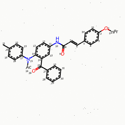 CCCOc1ccc(C=CC(=O)Nc2ccc(N(C(C)=O)c3ccc(C)cc3)c(C(=O)c3ccccc3)c2)cc1